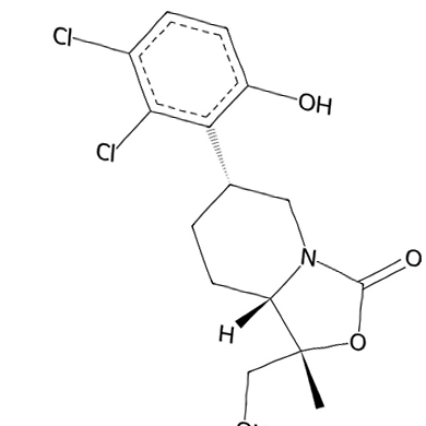 C[C@]1(CO)OC(=O)N2C[C@@H](c3c(O)ccc(Cl)c3Cl)CC[C@H]21